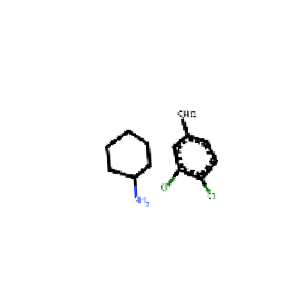 NC1CCCCC1.O=Cc1ccc(Cl)c(Cl)c1